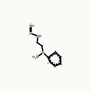 N=NNCCN(N)c1ccccc1